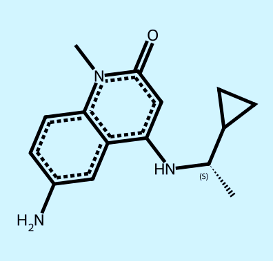 C[C@H](Nc1cc(=O)n(C)c2ccc(N)cc12)C1CC1